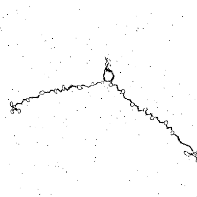 O=S(=O)([O-])CCCOCCOCCOCCOCCOCCOCCOc1ccccc1OCCOCCOCCOCCOCCOCCOCCCS(=O)(=O)[O-].[K+].[K+]